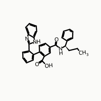 CCC[C@@H](NC(=O)c1ccc(-c2ccccc2-c2nc3ccccc3[nH]2)c(C(=O)O)c1)c1ccccc1